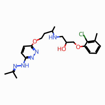 CC(C)=NNc1ccc(OCCC(C)NCC(O)COc2cccc(C)c2Cl)nn1